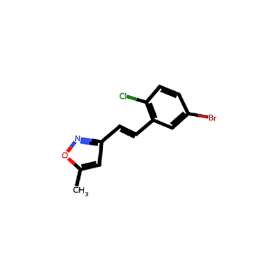 Cc1cc(C=Cc2cc(Br)ccc2Cl)no1